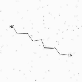 N#CCC=CCCCCC#N